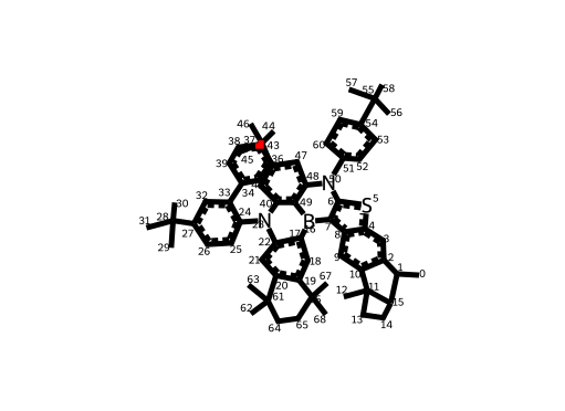 CC1c2cc3sc4c(c3cc2C2(C)CCC12)B1c2cc3c(cc2N(c2ccc(C(C)(C)C)cc2-c2ccccc2)c2cc(C(C)(C)C)cc(c21)N4c1ccc(C(C)(C)C)cc1)C(C)(C)CCC3(C)C